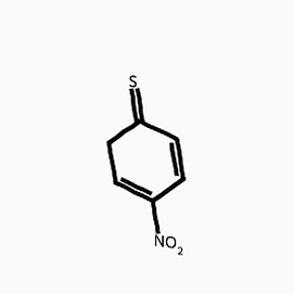 O=[N+]([O-])C1=CCC(=S)C=C1